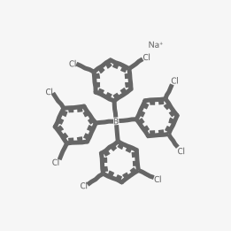 Clc1cc(Cl)cc([B-](c2cc(Cl)cc(Cl)c2)(c2cc(Cl)cc(Cl)c2)c2cc(Cl)cc(Cl)c2)c1.[Na+]